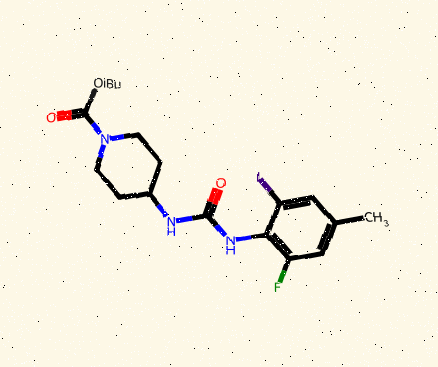 Cc1cc(F)c(NC(=O)NC2CCN(C(=O)OCC(C)C)CC2)c(I)c1